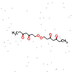 CCC(=O)CC(=O)CCOOCCC(=O)CC(=O)CC